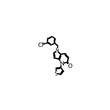 O=c1ccc2c(ccn2Cc2cccc(Cl)c2)n1-c1ccsc1